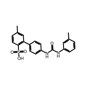 Cc1cccc(NC(=O)Nc2ccc(-c3cc(C)ccc3S(=O)(=O)O)cc2)c1